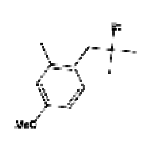 CCC(C)(C)Cc1ccc(OC)cc1C